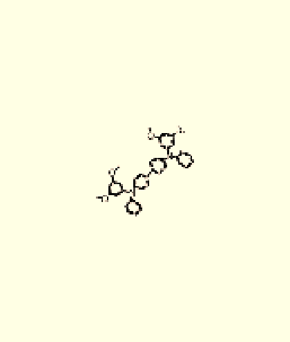 COc1cc(OC)cc(N(c2ccccc2)c2ccc(-c3ccc(N(c4ccccc4)c4cc(OC)cc(OC)c4)cc3)cc2)c1